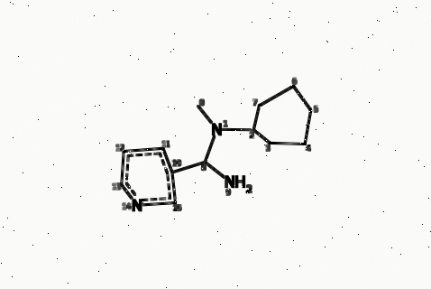 CN(C1CCCCC1)C(N)c1cccnc1